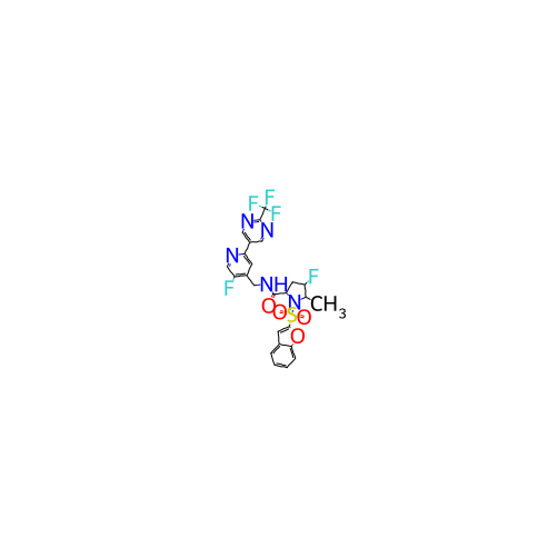 CC1C(F)CC(C(=O)NCc2cc(-c3cnc(C(F)(F)F)nc3)ncc2F)N1S(=O)(=O)c1cc2ccccc2o1